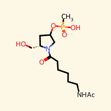 CC(=O)NCCCCCC(=O)N1CC(OP(C)(=O)O)C[C@H]1CO